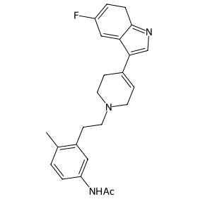 CC(=O)Nc1ccc(C)c(CCN2CC=C(C3=CN=C4CC=C(F)C=C34)CC2)c1